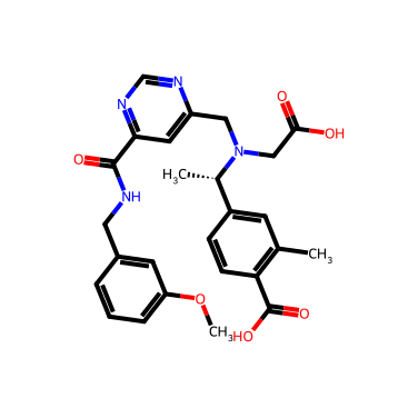 COc1cccc(CNC(=O)c2cc(CN(CC(=O)O)[C@@H](C)c3ccc(C(=O)O)c(C)c3)ncn2)c1